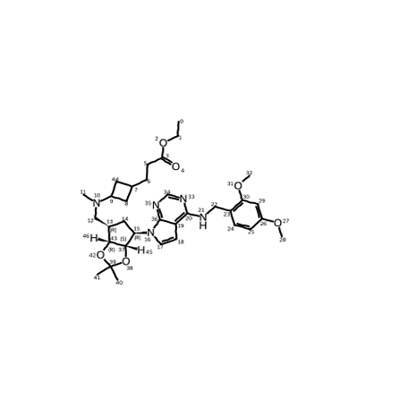 CCOC(=O)CCC1CC(N(C)C[C@H]2C[C@@H](n3ccc4c(NCc5ccc(OC)cc5OC)ncnc43)[C@@H]3OC(C)(C)O[C@H]23)C1